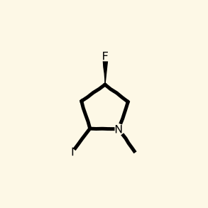 CN1C[C@H](F)CC1I